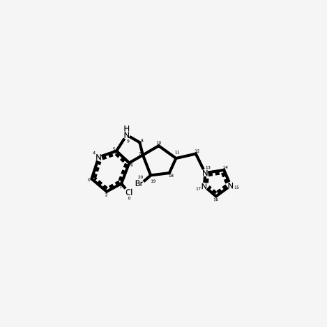 Clc1ccnc2c1C1(CN2)CC(Cn2cncn2)CC1Br